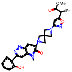 COC(=O)C(c1cc(N2CC3(C2)CN(c2cc4nnc(-c5ccccc5O)cc4n(C)c2=O)C3)no1)C(C)C